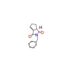 O=C1C2=CCC[C@H]2C(=O)N1Cc1ccccc1